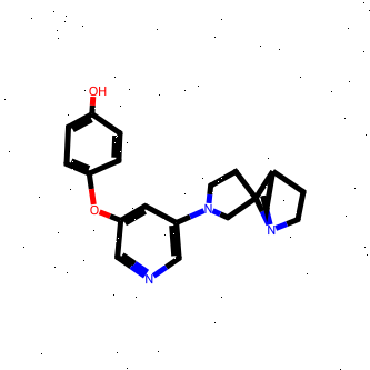 Oc1ccc(Oc2cncc(N3CCC4(C3)C3CCN4CC3)c2)cc1